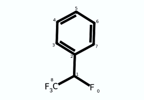 FC(c1cc[c]cc1)C(F)(F)F